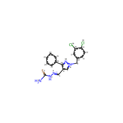 NC(=S)N/N=C/c1cn(Cc2ccc(Cl)c(Cl)c2)nc1-c1ccccc1